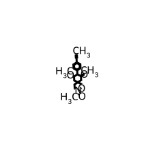 CC#Cc1cc(C)c(C2C(=O)CC3(CCN(C(C)=O)OC3)CC2=O)c(C)c1